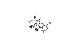 CCCOc1c(/C(C)=C(/F)CO)cc2c(c1Br)C(C)(C)CC=C2C(C)C